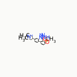 C[N+]1(C)CCC(c2ccc(-c3cccc(S(C)(=O)=O)c3-c3nnn[nH]3)cc2)CC1